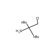 CCCCC([SiH3])(CCl)CCCC